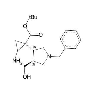 CC(C)(C)OC(=O)C1([C@@H]2CN(Cc3ccccc3)C[C@H]2CO)CC1N